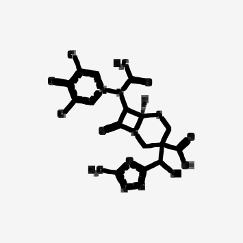 CC(=O)N(C1C(=O)N2CC(C(=O)O)(C(S)c3nnc(C)o3)CS[C@H]12)n1cc(Cl)c(=O)c(Cl)c1